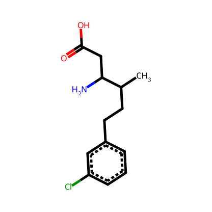 CC(CCc1cccc(Cl)c1)C(N)CC(=O)O